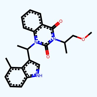 COCC(C)n1c(=O)c2ccccc2n(C(C)c2c[nH]c3cccc(C)c23)c1=O